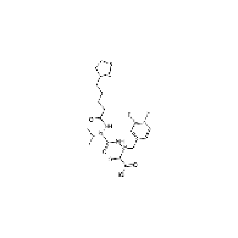 CC(C)[C@H](NC(=O)CCCCC1CCSS1)C(=O)N[C@@H](Cc1ccc(F)c(F)c1)C(=O)C(=O)O